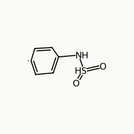 O=[SH](=O)Nc1cc[c]cc1